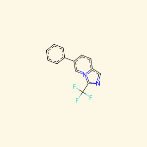 FC(F)(F)c1ncc2ccc(-c3ccccc3)cn12